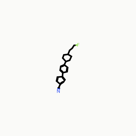 N#Cc1ccc(-c2ccc(C3CCC(CCCF)CC3)cc2)cc1